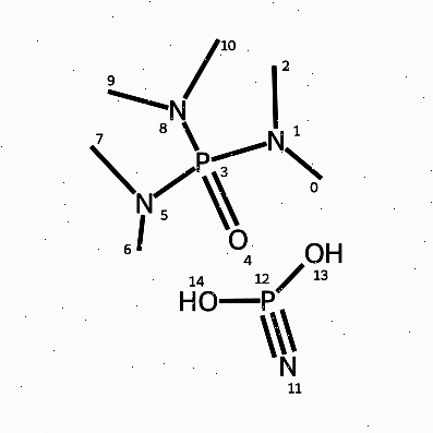 CN(C)P(=O)(N(C)C)N(C)C.N#P(O)O